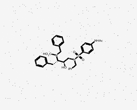 CC(=O)Nc1ccc(S(=O)(=O)N(CC(C)C)C[C@@H](O)[C@H](Cc2ccccc2)N(Cc2ccccc2)C(=O)O)cc1